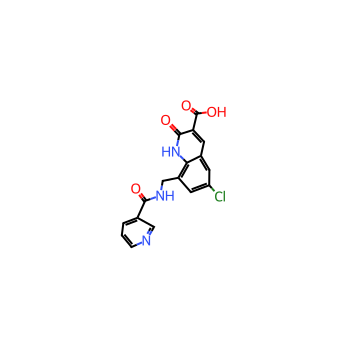 O=C(NCc1cc(Cl)cc2cc(C(=O)O)c(=O)[nH]c12)c1cccnc1